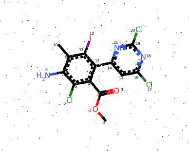 COC(=O)c1c(Cl)c(N)c(C)c(I)c1-c1cc(Cl)nc(Cl)n1